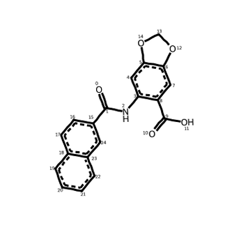 O=C(Nc1cc2c(cc1C(=O)O)OCO2)c1ccc2ccccc2c1